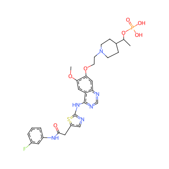 COc1cc2c(Nc3ncc(CC(=O)Nc4cccc(F)c4)s3)ncnc2cc1OCCN1CCC(C(C)OP(=O)(O)O)CC1